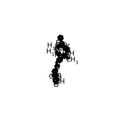 COc1cc(N2CCN(CC3CCN(c4ccc5c(c4)C(=O)N(C4CCC(=O)NC4=O)C5=O)C3)CC2)c(-c2cnn(C)c2)cc1Nc1ncc(Br)c(Nc2ccc(-c3ccccc3)c(F)c2P(C)(C)=O)n1